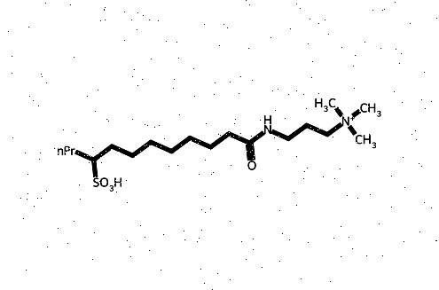 CCCC(CCCCCCCC(=O)NCCC[N+](C)(C)C)S(=O)(=O)O